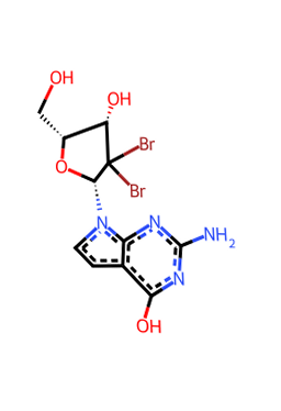 Nc1nc(O)c2ccn([C@@H]3O[C@H](CO)[C@H](O)C3(Br)Br)c2n1